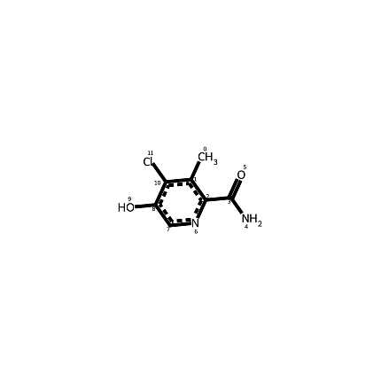 Cc1c(C(N)=O)ncc(O)c1Cl